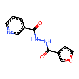 O=C(NNC(=O)c1ccoc1)c1cccnc1